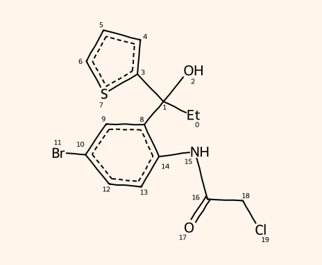 CCC(O)(c1cccs1)c1cc(Br)ccc1NC(=O)CCl